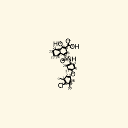 Cc1cc(Oc2ccc(N[S+]([O-])c3cc(C(=O)O)c(O)c4ccccc34)cc2)cc(C)c1Cl